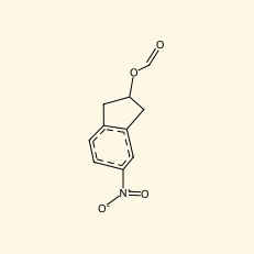 O=COC1Cc2ccc([N+](=O)[O-])cc2C1